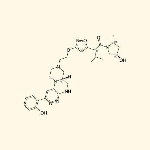 CC(C)[C@@H](C(=O)N1C[C@H](O)C[C@H]1C)c1cc(OCCN2CCN3c4cc(-c5ccccc5O)nnc4NC[C@H]3C2)no1